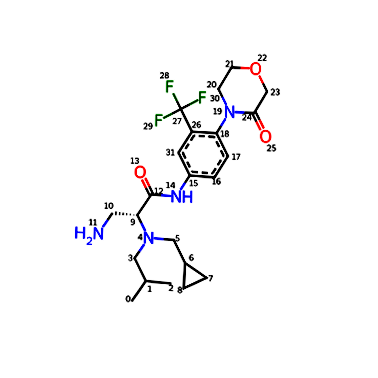 CC(C)CN(CC1CC1)[C@H](CN)C(=O)Nc1ccc(N2CCOCC2=O)c(C(F)(F)F)c1